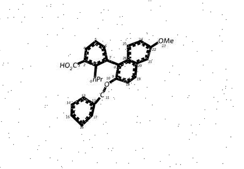 CCCc1c(C(=O)O)cccc1-c1c(OCc2ccccc2)ccc2cc(OC)ccc12